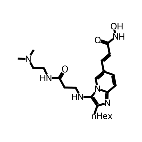 CCCCCCc1nc2ccc(C=CC(=O)NO)cn2c1NCCC(=O)NCCN(C)C